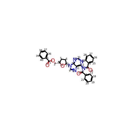 O=C(OC[C@@H]1CC[C@H](n2cnc3c(N(C(=O)c4ccccc4)C(=O)c4ccccc4)ncnc32)O1)c1ccccc1